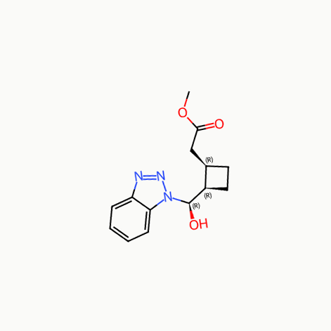 COC(=O)C[C@H]1CC[C@H]1[C@@H](O)n1nnc2ccccc21